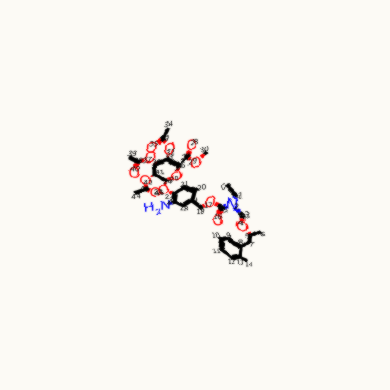 CCN(COC(C)Cc1ccccc1C)C(=O)OCc1ccc(O[C@@H]2O[C@H](C(=O)OC)[C@@H](OC(C)=O)[C@H](OC(C)=O)[C@H]2OC(C)=O)c(N)c1